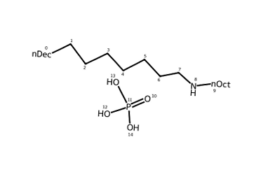 CCCCCCCCCCCCCCCCCNCCCCCCCC.O=P(O)(O)O